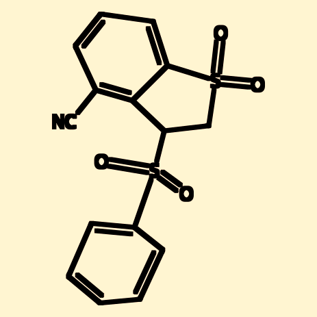 N#Cc1cccc2c1C(S(=O)(=O)c1ccccc1)CS2(=O)=O